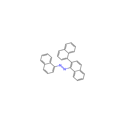 c1ccc2c(N=Nc3c(-c4cccc5ccccc45)ccc4ccccc34)cccc2c1